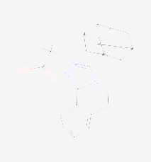 O=C(O)C(F)(F)F.c1ccc2c(c1)CCn1c-2nnc1C12CC3CC(CC(C3)C1)C2